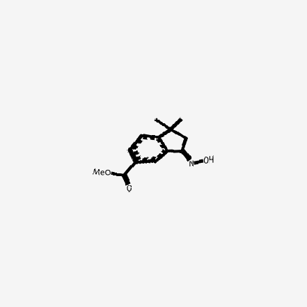 COC(=O)c1ccc2c(c1)/C(=N/O)CC2(C)C